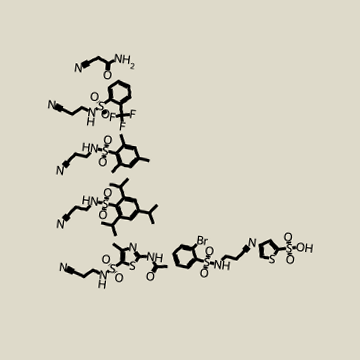 CC(=O)Nc1nc(C)c(S(=O)(=O)NCCC#N)s1.CC(C)c1cc(C(C)C)c(S(=O)(=O)NCCC#N)c(C(C)C)c1.Cc1cc(C)c(S(=O)(=O)NCCC#N)c(C)c1.N#CCC(N)=O.N#CCCNS(=O)(=O)c1ccccc1Br.N#CCCNS(=O)(=O)c1ccccc1C(F)(F)F.O=S(=O)(O)c1cccs1